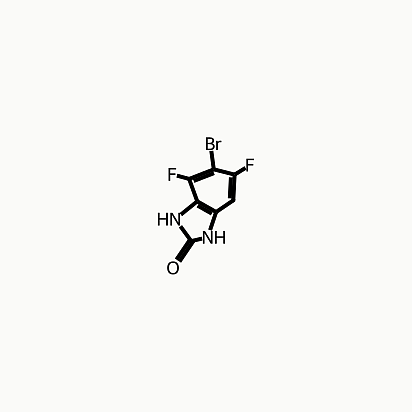 O=c1[nH]c2cc(F)c(Br)c(F)c2[nH]1